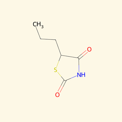 CCCC1SC(=O)NC1=O